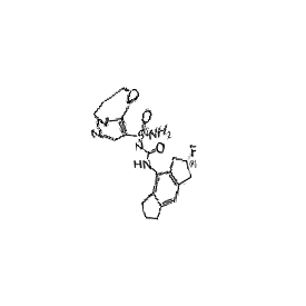 N[S@@](=O)(=NC(=O)Nc1c2c(cc3c1C[C@H](F)C3)CCC2)c1cnn2c1OCCC2